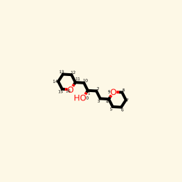 OC(CCC1CCCCO1)CC1CCCCO1